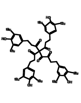 CC(C)(C)c1cc(CCC(=O)C(=O)C(C(=O)CCc2cc(C(C)(C)C)c(O)c(C(C)(C)C)c2)(C(=O)CCc2cc(C(C)(C)C)c(O)c(C(C)(C)C)c2)C(=O)CCc2cc(C(C)(C)C)c(O)c(C(C)(C)C)c2)cc(C(C)(C)C)c1O